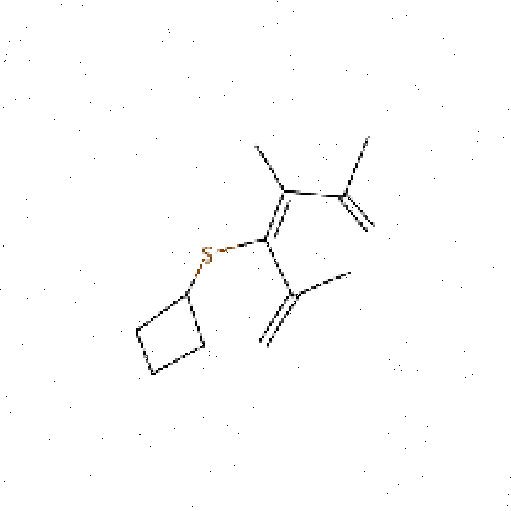 C=C(C)/C(C)=C(/SC1CCC1)C(=C)C